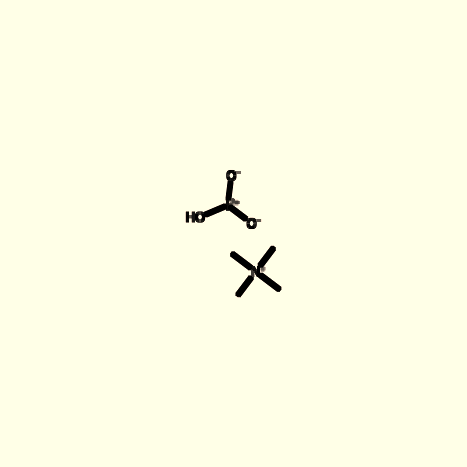 C[N+](C)(C)C.[O-][I+2]([O-])O